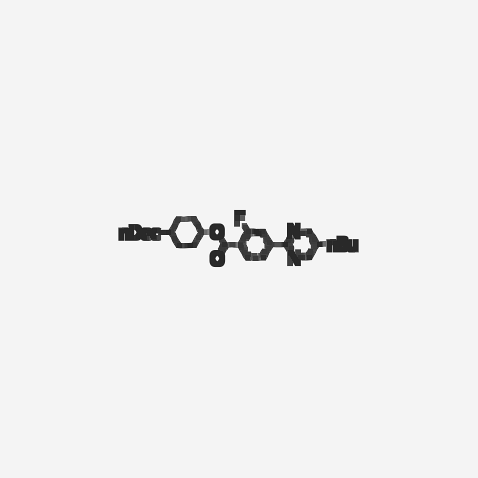 CCCCCCCCCCC1CCC(OC(=O)c2ccc(-c3ncc(CCCC)cn3)cc2F)CC1